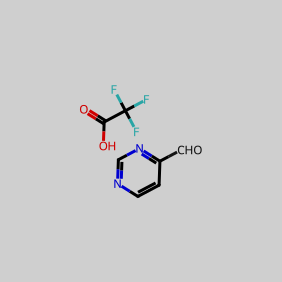 O=C(O)C(F)(F)F.O=Cc1ccncn1